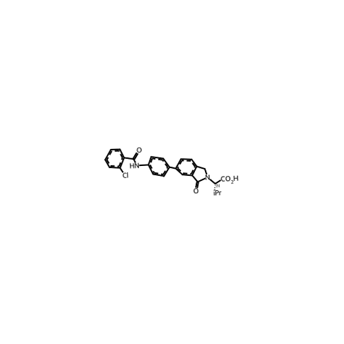 CC(C)[C@@H](C(=O)O)N1Cc2ccc(-c3ccc(NC(=O)c4ccccc4Cl)cc3)cc2C1=O